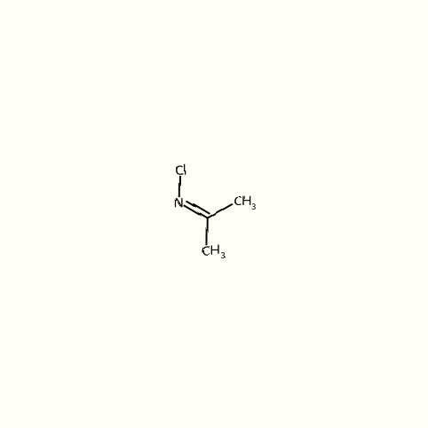 CC(C)=NCl